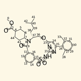 COC(=O)C1CCC(N2C(=O)c3cccc(c3)S(=O)(=O)Nc3nc(cc(-c4c(C)cccc4C)n3)OC[C@H]2CCC(C)C)CC1